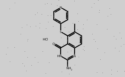 Cc1ccc2nc(N)[nH]c(=O)c2c1Sc1ccncc1.Cl